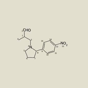 CC(C=O)CN1CCCC1c1ccc([N+](=O)[O-])cc1